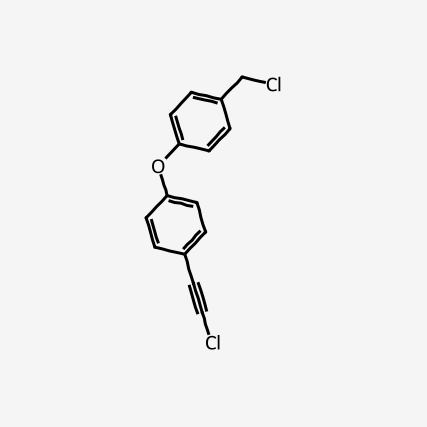 ClC#Cc1ccc(Oc2ccc(CCl)cc2)cc1